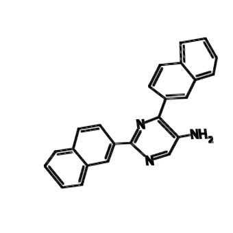 Nc1cnc(-c2ccc3ccccc3c2)nc1-c1ccc2ccccc2c1